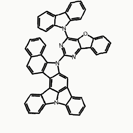 c1ccc2c(c1)ccc1c3c4c5ccccc5n5c6ccccc6c(cc3n(-c3nc(-n6c7ccccc7c7ccccc76)c6oc7ccccc7c6n3)c21)c45